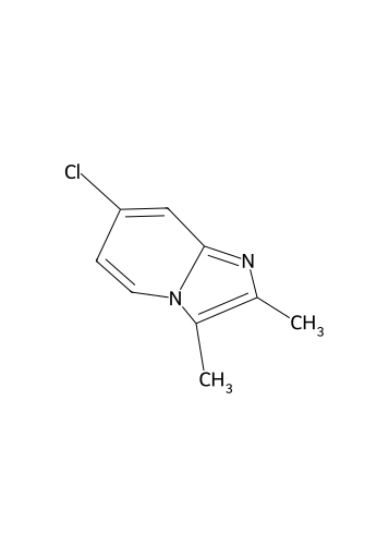 Cc1nc2cc(Cl)ccn2c1C